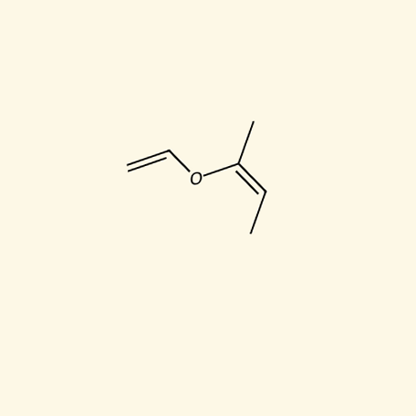 C=CO/C(C)=C\C